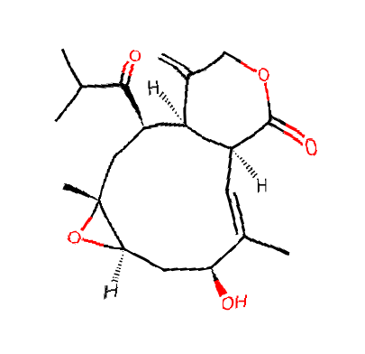 C=C1COC(=O)[C@H]2/C=C(\C)[C@@H](O)C[C@H]3O[C@]3(C)C[C@@H](C(=O)C(C)C)[C@@H]12